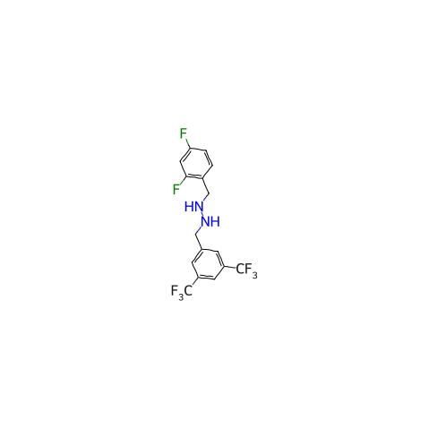 Fc1ccc(CNNCc2cc(C(F)(F)F)cc(C(F)(F)F)c2)c(F)c1